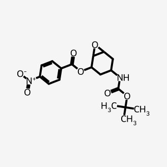 CC(C)(C)OC(=O)NC1CC(OC(=O)c2ccc([N+](=O)[O-])cc2)C2OC2C1